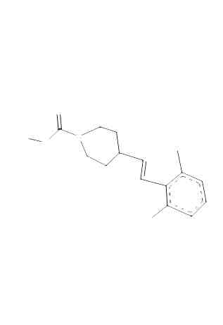 Cc1cccc(C)c1C=CC1CCN(C(=O)OC(C)(C)C)CC1